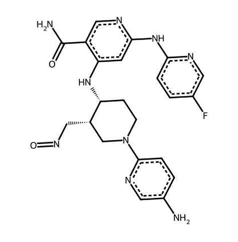 NC(=O)c1cnc(Nc2ccc(F)cn2)cc1N[C@@H]1CCN(c2ccc(N)cn2)C[C@@H]1CN=O